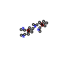 Cn1c2ccccc2c2cc(-c3cccc4c(-c5cccc6c5C(c5ccccc5)(c5ccccc5)c5ccccc5-6)c5cccc(-c6ccc7c(c6)c6ccccc6n7Cc6ccc7c(c6)-c6cccc(-c8c9cccc(-c%10ccc%11c%12ccccc%12n(C)c%11c%10)c9cc9c(-c%10ccc%11c%12ccccc%12n(C)c%11c%10)cccc89)c6C7(c6ccccc6)c6ccccc6)c5cc34)ccc21